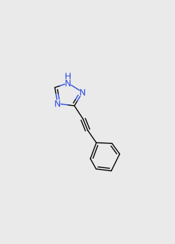 C(#Cc1nc[nH]n1)c1ccccc1